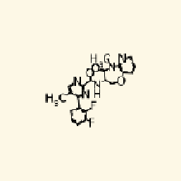 Cc1cnc(C(=O)N[C@H]2COc3cccnc3N(C)C2=O)nc1-c1cccc(F)c1F